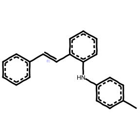 Cc1ccc(Nc2ccccc2/C=C/c2ccccc2)cc1